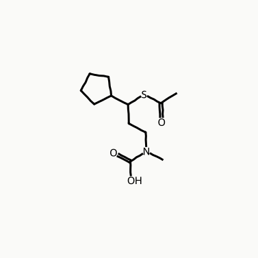 CC(=O)SC(CCN(C)C(=O)O)C1CCCC1